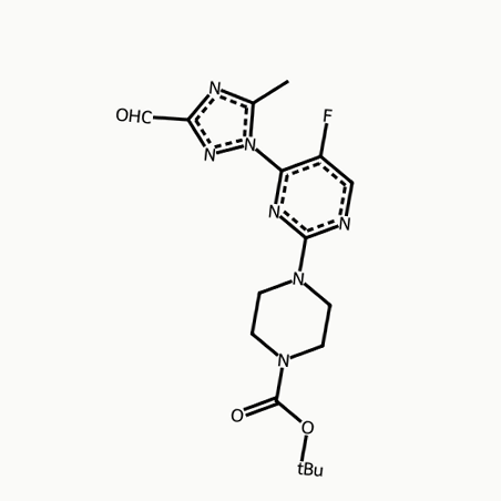 Cc1nc(C=O)nn1-c1nc(N2CCN(C(=O)OC(C)(C)C)CC2)ncc1F